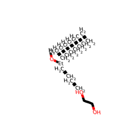 C=C.C=C.C=C.C=C.C=C.C=C.C=C.C=C.C=C.CCOCC.OCCO